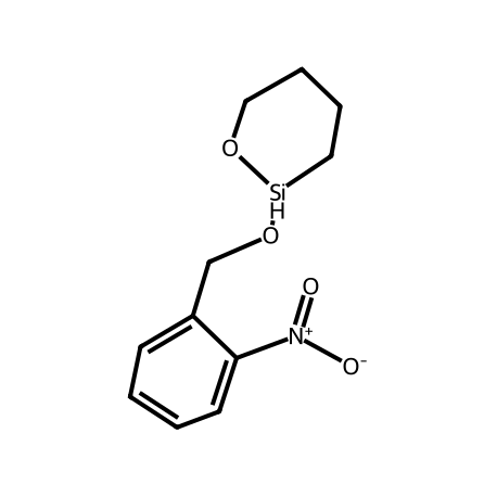 O=[N+]([O-])c1ccccc1CO[SiH]1CCCCO1